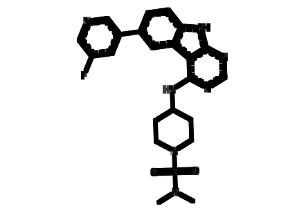 CN(C)S(=O)(=O)N1CCC(Nc2ncnc3[nH]c4ccc(-c5cncc(F)c5)cc4c23)CC1